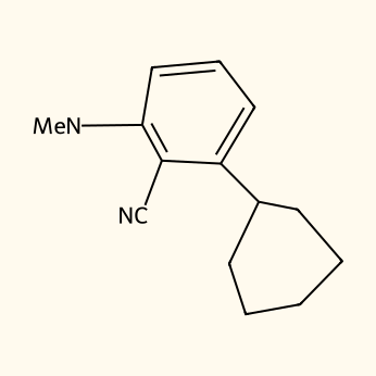 CNc1cccc(C2CCCCC2)c1C#N